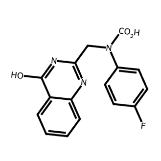 O=C(O)N(Cc1nc(O)c2ccccc2n1)c1ccc(F)cc1